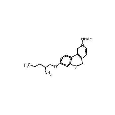 CC(=O)NN1C=CC2=C(C1)c1ccc(OCC(N)CCC(F)(F)F)cc1OC2